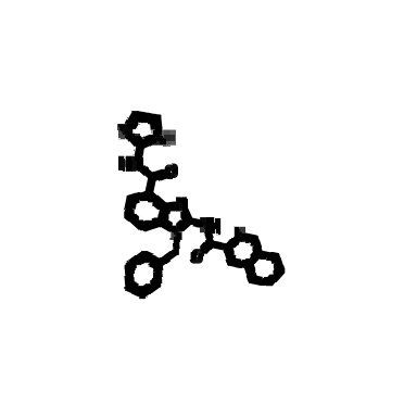 O=C(Nc1nc2c(C(=O)Nc3ncc[nH]3)cccc2n1Cc1ccccc1)c1cc2ccccc2cn1